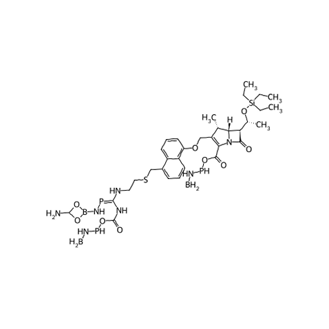 BNPOC(=O)N/C(NCCSCc1cccc2c(OCC3=C(C(=O)OPNB)N4C(=O)[C@H]([C@@H](C)O[Si](CC)(CC)CC)[C@H]4[C@H]3C)cccc12)=P\NB1OC(N)O1